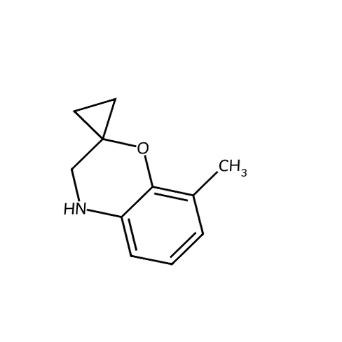 Cc1cccc2c1OC1(CC1)CN2